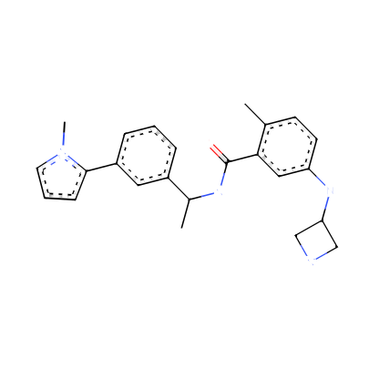 Cc1ccc(NC2CNC2)cc1C(=O)NC(C)c1cccc(-c2cccn2C)c1